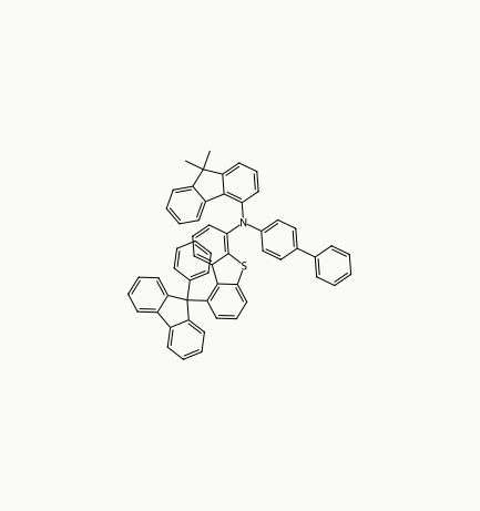 CC1(C)c2ccccc2-c2c(N(c3ccc(-c4ccccc4)cc3)c3cccc4c3sc3cccc(C5(c6ccccc6)c6ccccc6-c6ccccc65)c34)cccc21